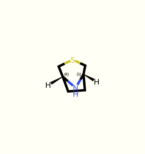 C1C[C@H]2CSC[C@@H]1N2